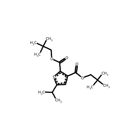 CC(C)c1cc(C(=O)OCC(C)(C)C)c(C(=O)OCC(C)(C)C)s1